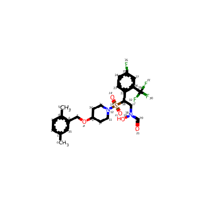 Cc1ccc(C)c(COC2CCN(S(=O)(=O)C(CN(O)C=O)c3ccc(F)cc3C(F)(F)F)CC2)c1